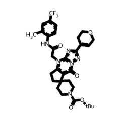 Cc1cc(C(F)(F)F)ccc1NC(=O)Cn1c2c(c(=O)n3nc(C4=CCOCC4)nc13)C1(CC2)CCN(C(=O)OC(C)(C)C)CC1